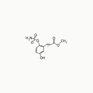 COC(=O)/C=C/c1cc(O)ccc1OS(N)(=O)=O